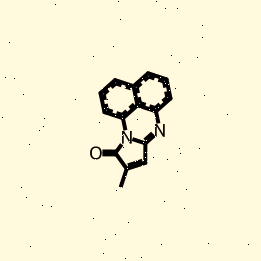 CC1=CC2=Nc3cccc4cccc(c34)N2C1=O